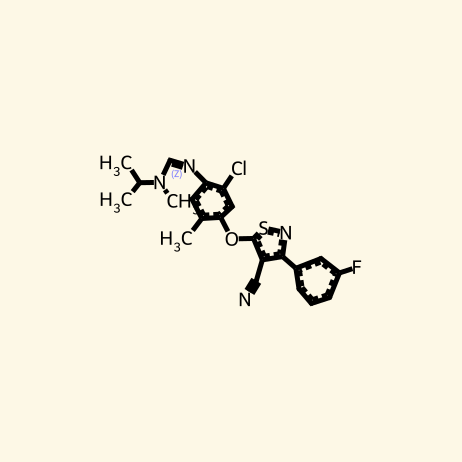 Cc1cc(/N=C\N(C)C(C)C)c(Cl)cc1Oc1snc(-c2cccc(F)c2)c1C#N